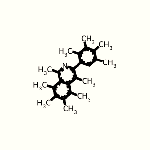 Cc1cc(-c2nc(C)c3c(C)c(C)c(C)c(C)c3c2C)c(C)c(C)c1C